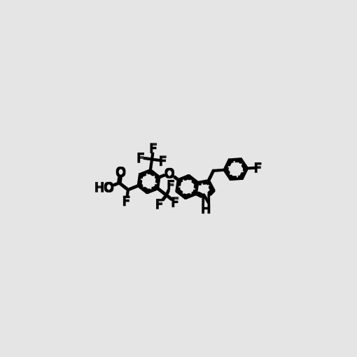 O=C(O)C(F)c1cc(C(F)(F)F)c(Oc2ccc3[nH]cc(Cc4ccc(F)cc4)c3c2)c(C(F)(F)F)c1